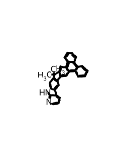 CC1(C)c2cc3[nH]c4ncccc4c3cc2-c2cc3c4ccccc4c4ccccc4c3cc21